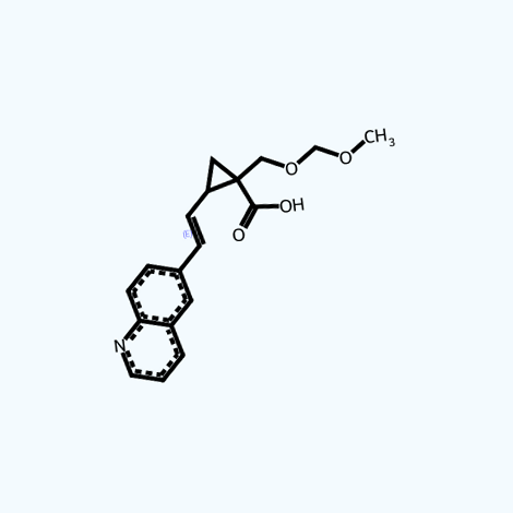 COCOCC1(C(=O)O)CC1/C=C/c1ccc2ncccc2c1